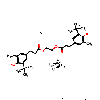 C=C.C=C.Cc1cc(CCC(=O)OCCOC(=O)CCc2cc(C)c(O)c(C(C)(C)C)c2)cc(C(C)(C)C)c1O